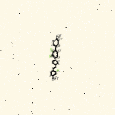 CCCc1ccc(/C=C/c2ccc(-c3ccc(C4CCC(CC)CC4)c(F)c3F)cc2)c(F)c1